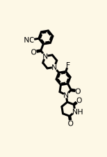 N#Cc1ccccc1C(=O)N1CCN(c2cc3c(cc2F)C(=O)N(C2CCC(=O)NC2=O)C3)CC1